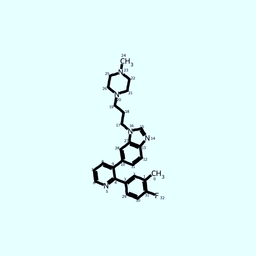 Cc1cc(-c2ncccc2-c2ccc3ncn(CCCN4CCN(C)CC4)c3c2)ccc1F